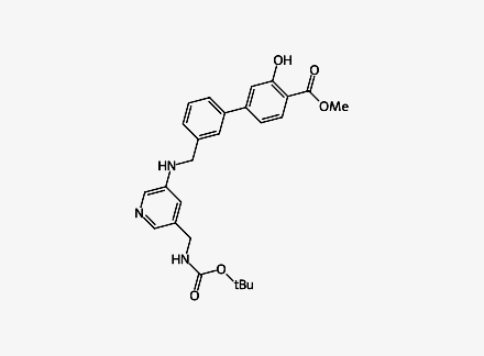 COC(=O)c1ccc(-c2cccc(CNc3cncc(CNC(=O)OC(C)(C)C)c3)c2)cc1O